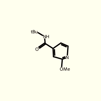 COc1cc(C(=O)NC(C)(C)C)ccn1